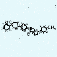 Cc1ccc(-c2ccc(C(=O)Nc3ccc(N4CCC(O)(c5ccccc5)CC4)nc3)o2)cc1